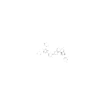 c1ccc(-c2nc(-c3ccccc3)nc(-c3cccc(-c4ccc5c(ccc6ccc7sc(-c8ccccc8)nc7c65)c4)c3)n2)cc1